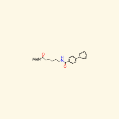 CNC(=O)CCCCCNC(=O)c1ccc(-c2ccccc2)cc1